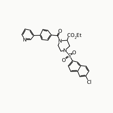 CCOC(=O)C1CN(S(=O)(=O)c2ccc3cc(Cl)ccc3c2)CCN1C(=O)c1ccc(-c2cccnc2)cc1